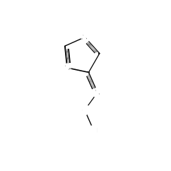 CON=C1C=NC=N1